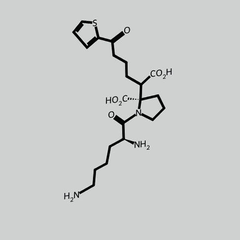 NCCCC[C@H](N)C(=O)N1CCC[C@]1(C(=O)O)C(CCCC(=O)c1cccs1)C(=O)O